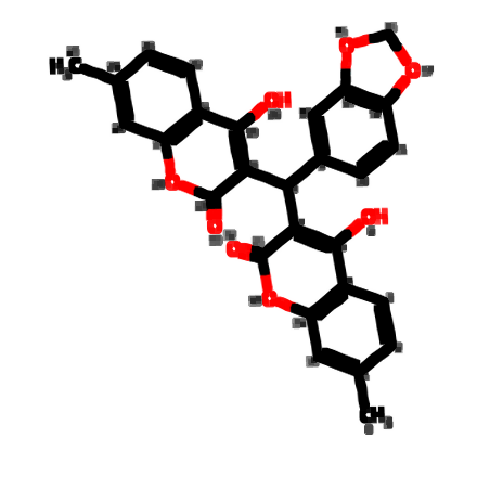 Cc1ccc2c(O)c(C(c3ccc4c(c3)OCO4)c3c(O)c4ccc(C)cc4oc3=O)c(=O)oc2c1